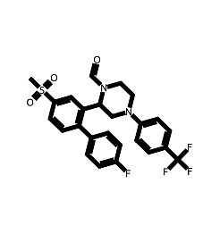 CS(=O)(=O)c1ccc(-c2ccc(F)cc2)c(C2CN(c3ccc(C(F)(F)F)cc3)CCN2C=O)c1